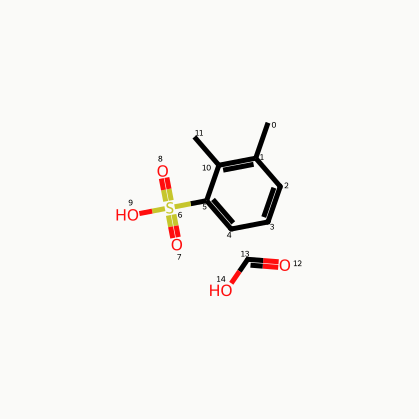 Cc1cccc(S(=O)(=O)O)c1C.O=CO